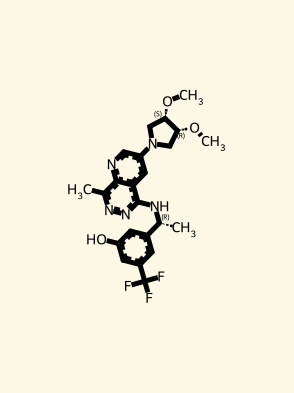 CO[C@H]1CN(c2cnc3c(C)nnc(N[C@H](C)c4cc(O)cc(C(F)(F)F)c4)c3c2)C[C@H]1OC